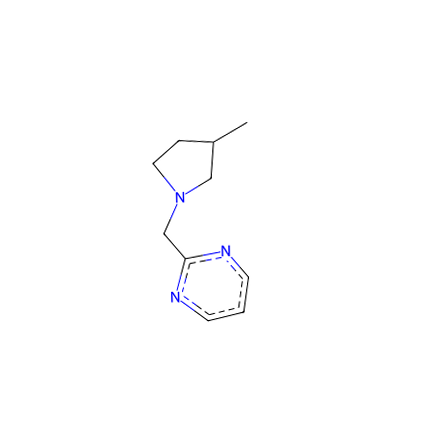 CC1CCN(Cc2ncccn2)C1